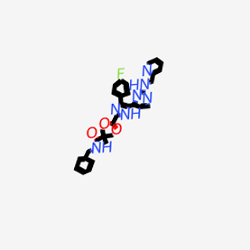 CC1(C(=O)NCc2ccccc2)COC(c2nc(-c3ccc(F)cc3)c(-c3ccnc(NCc4ccccn4)n3)[nH]2)OC1